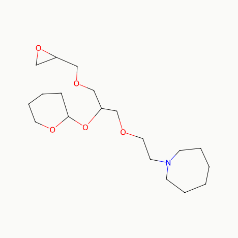 C1CCCN(CCOCC(COCC2CO2)OC2CCCCO2)CC1